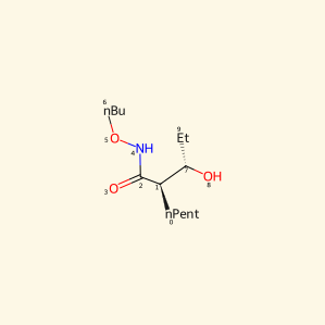 CCCCC[C@@H](C(=O)NOCCCC)[C@@H](O)CC